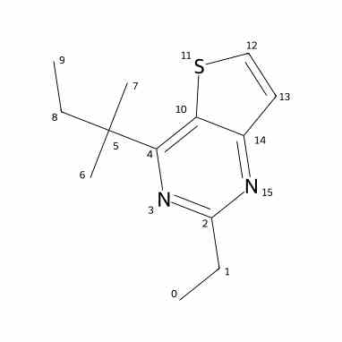 CCc1nc(C(C)(C)CC)c2sccc2n1